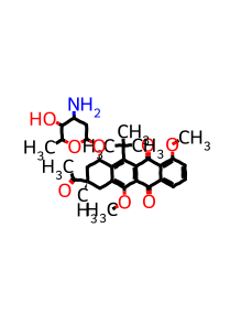 COc1cccc2c1C(=O)c1c(c(OC)c3c(c1C(C)(C)C)[C@@H](OC1CC(N)C(O)C(C)O1)C[C@](C)(C(C)=O)C3)C2=O